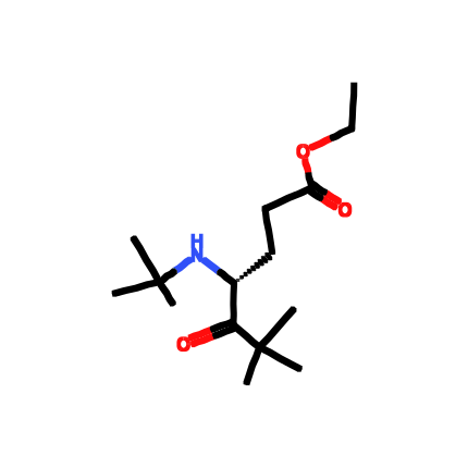 CCOC(=O)CC[C@@H](NC(C)(C)C)C(=O)C(C)(C)C